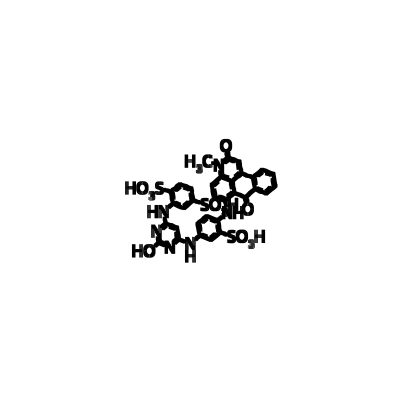 Cn1c(=O)cc2c3c(c(Nc4ccc(Nc5cc(Nc6cc(S(=O)(=O)O)ccc6S(=O)(=O)O)nc(O)n5)cc4S(=O)(=O)O)ccc31)C(=O)c1ccccc1-2